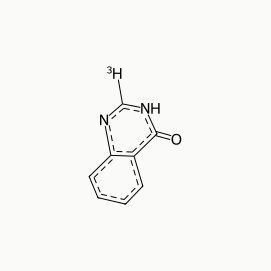 [3H]c1nc2ccccc2c(=O)[nH]1